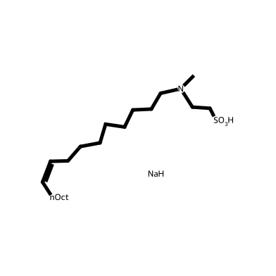 CCCCCCCC/C=C\CCCCCCCCN(C)CCS(=O)(=O)O.[NaH]